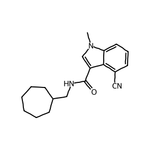 Cn1cc(C(=O)NCC2CCCCCC2)c2c(C#N)cccc21